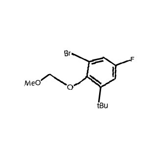 COCOc1c(Br)cc(F)cc1C(C)(C)C